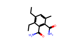 CCc1cc(C)c(C(N)=O)c(C(N)=O)c1CC